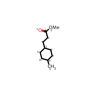 COC(=O)CCC1CCC(C)CC1